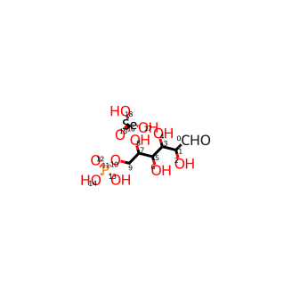 O=CC(O)C(O)C(O)C(O)COP(=O)(O)O.O=[Se](O)O